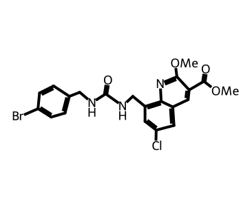 COC(=O)c1cc2cc(Cl)cc(CNC(=O)NCc3ccc(Br)cc3)c2nc1OC